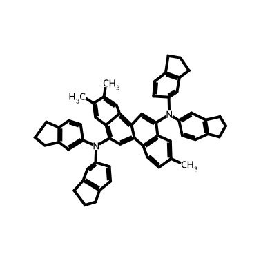 Cc1ccc2c(c1)c(N(c1ccc3c(c1)CCC3)c1ccc3c(c1)CCC3)cc1c3cc(C)c(C)cc3c(N(c3ccc4c(c3)CCC4)c3ccc4c(c3)CCC4)cc21